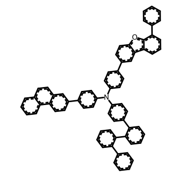 c1ccc(-c2ccccc2-c2ccccc2-c2ccc(N(c3ccc(-c4ccc5c(ccc6ccccc65)c4)cc3)c3ccc(-c4ccc5oc6c(-c7ccccc7)cccc6c5c4)cc3)cc2)cc1